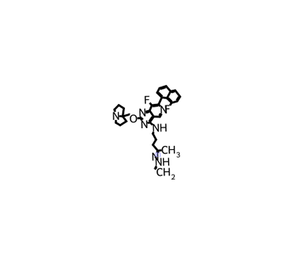 C=CN/N=C(\C)CCCNc1nc(OCC23CCCN2CCC3)nc2c(F)c(-c3cccc4cccc(F)c34)ncc12